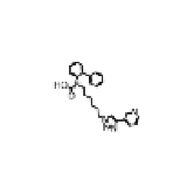 O=C(O)N(CCCCCCn1cc(-c2cccnc2)nn1)c1ccccc1-c1ccccc1